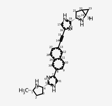 C[C@H]1CC[C@@H](c2nc(-c3ccc4cc(C#Cc5c[nH]c([C@@H]6CC7C[C@H]7N6)n5)ccc4c3)c[nH]2)N1